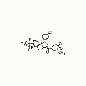 CC1CC(C(=O)N2CCC3(Cc4ccc(Cl)cc4)c4ccc(C(C)(F)C(F)(F)F)cc4CCC23)CCS1(=O)=O